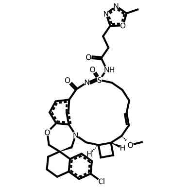 CO[C@H]1/C=C/CCCS(=O)(NC(=O)CCc2nnc(C)o2)=NC(=O)c2ccc3c(c2)N(C[C@@H]2CC[C@H]21)C[C@@]1(CCCc2cc(Cl)ccc21)CO3